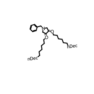 CCCCCCCCCCCCCCCCO[C@@H]1CN(Cc2ccccc2)C[C@H]1OCCCCCCCCCCCCCCCC